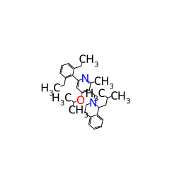 CCc1cccc(CC)c1-c1cc(OC(C)C)c(CN2CCc3ccccc3C2CC(C)C)c(C)n1